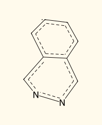 [c]1ccc2cnncc2c1